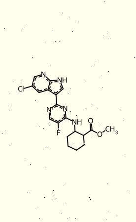 COC(=O)C1CCCCC1Nc1nc(-c2c[nH]c3ncc(Cl)cc23)ncc1F